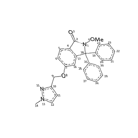 CON1C(=O)c2ccc(OCc3ccn(C)n3)cc2C1(c1ccccc1)c1ccccc1